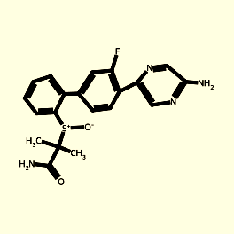 CC(C)(C(N)=O)[S+]([O-])c1ccccc1-c1ccc(-c2cnc(N)cn2)c(F)c1